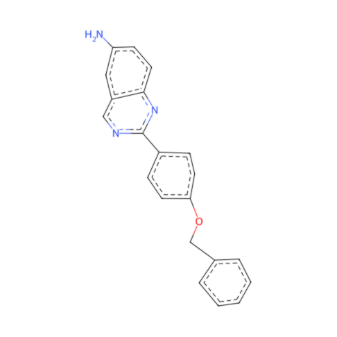 Nc1ccc2nc(-c3ccc(OCc4ccccc4)cc3)ncc2c1